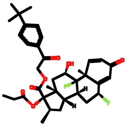 CCC(=O)O[C@]1(C(=O)OCC(=O)c2ccc(C(C)(C)C)cc2)[C@H](C)C[C@H]2[C@@H]3C[C@H](F)C4=CC(=O)C=C[C@]4(C)[C@@]3(F)[C@@H](O)C[C@@]21C